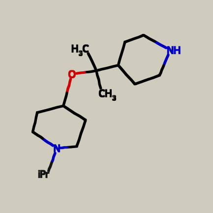 CC(C)N1CCC(OC(C)(C)C2CCNCC2)CC1